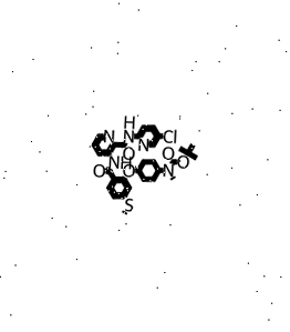 CSc1ccc(C(=O)Nc2cccnc2C(=O)Nc2ccc(Cl)cn2)c(OC2CCC(N(C)C(=O)OC(C)(C)C)CC2)c1